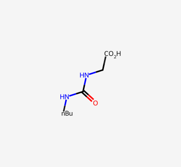 CCCCNC(=O)NCC(=O)O